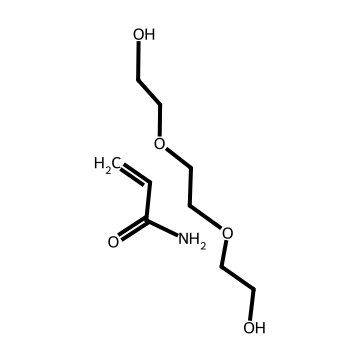 C=CC(N)=O.OCCOCCOCCO